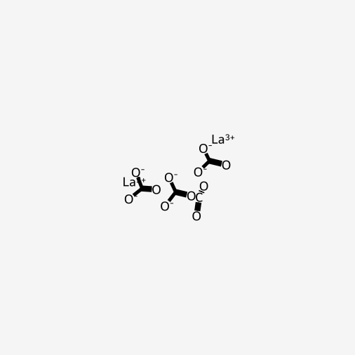 O=C([O-])[O-].O=C([O-])[O-].O=C([O-])[O-].O=C=O.[La+3].[La+3]